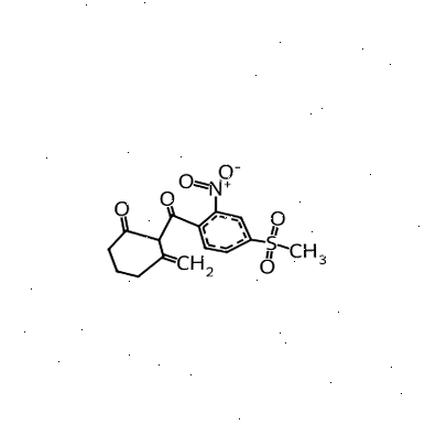 C=C1CCCC(=O)C1C(=O)c1ccc(S(C)(=O)=O)cc1[N+](=O)[O-]